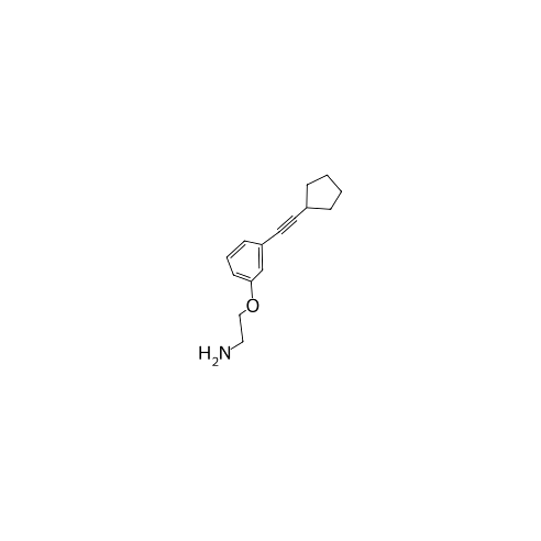 NCCOc1cccc(C#CC2CCCC2)c1